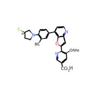 COc1cc(C(=O)O)cnc1-c1cc2nccc(-c3ccc(N4CC[C@@H](F)C4)c(C#N)c3)c2o1